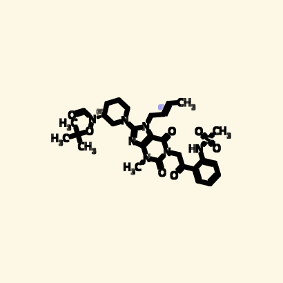 C/C=C/Cn1c(N2CCC[C@@H](N(C=O)OC(C)(C)C)C2)nc2c1c(=O)n(CC(=O)c1ccccc1NS(C)(=O)=O)c(=O)n2C